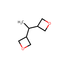 CC(C1COC1)C1COC1